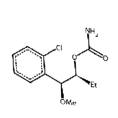 CC[C@H](OC(N)=O)[C@@H](OC)c1ccccc1Cl